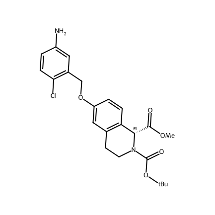 COC(=O)[C@H]1c2ccc(OCc3cc(N)ccc3Cl)cc2CCN1C(=O)OC(C)(C)C